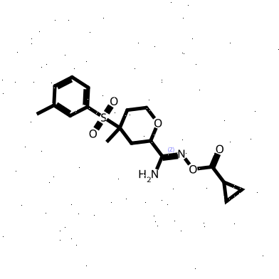 Cc1cccc(S(=O)(=O)C2(C)CCOC(/C(N)=N/OC(=O)C3CC3)C2)c1